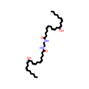 CCCCC/C=C\C/C=C(/O)C/C=C\C/C=C\CCCC(=O)NCCNC(=O)CCC/C=C\C/C=C\C/C(O)=C\C/C=C\CCCCC